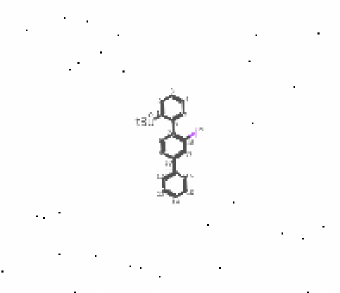 CC(C)(C)c1ccccc1-c1ccc(-c2ccccc2)cc1I